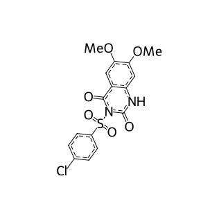 COc1cc2[nH]c(=O)n(S(=O)(=O)c3ccc(Cl)cc3)c(=O)c2cc1OC